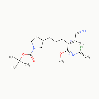 C=C(Cl)/N=C(OC)\C(CCCC1CCN(C(=O)OC(C)(C)C)C1)=C(/C)C=N